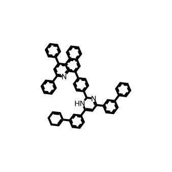 C1=CC(c2cccc(C3=CC(c4cccc(-c5ccccc5)c4)=NC(c4ccc(-c5cc6ccccc6c6c(-c7ccccc7)cc(-c7ccccc7)nc56)cc4)N3)c2)=CCC1